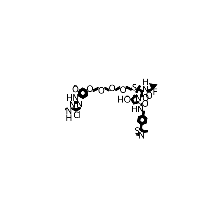 CNc1nc(Nc2ccc(OCCOCCOCCOCCSC(C)(C)[C@@H](NC(=O)C3(F)CC3)C(=O)N3C[C@H](O)C[C@H]3C(=O)NCc3ccc(-c4scnc4C)cc3)cc2OC)ncc1Cl